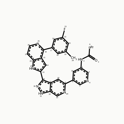 CCCC(=O)Nc1cncc(-c2cc3c(-c4cc5c(-c6cc(C)cc(F)c6)nccc5[nH]4)n[nH]c3cn2)c1